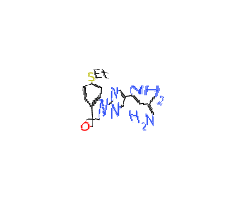 CCSc1ccc2c(c1)N(c1ncc(/C(N)=C/C(C)=C\N)cn1)CC21COC1